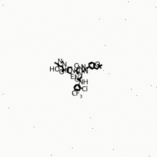 CCc1c(N2CCN(C(=O)c3ncnc(C)c3O)CC2)c(=O)n2nc(-c3ccc4c(c3)CC(C)(C)O4)nc2n1CC(=O)Nc1ccc(C(F)(F)F)cc1Cl